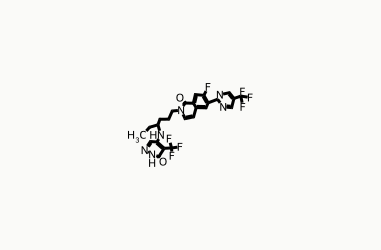 CCC(CCCn1ccc2cc(-c3ncc(C(F)(F)F)cn3)c(F)cc2c1=O)Nc1cn[nH]c(=O)c1C(F)(F)F